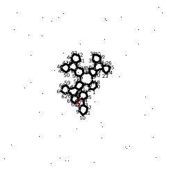 c1cc(-c2ccc3sc4ccccc4c3c2)c2c(c1)-c1cc3c4ccccc4c4ccccc4c3cc1-c1cc3c4ccccc4c4ccccc4c3cc1-c1cc3c4ccccc4c4ccccc4c3cc1-2